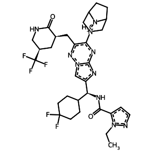 CCn1nccc1C(=O)N[C@H](c1cn2nc(C[C@H]3C[C@@H](C(F)(F)F)CNC3=O)c(N3CC4CCC(C3)N4C)nc2n1)C1CCC(F)(F)CC1